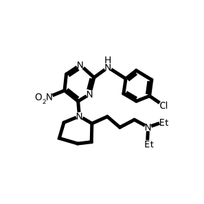 CCN(CC)CCCC1CCCCN1c1nc(Nc2ccc(Cl)cc2)ncc1[N+](=O)[O-]